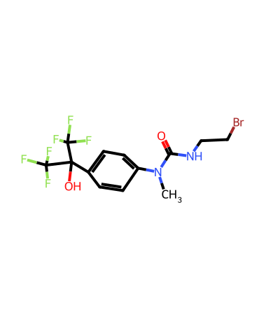 CN(C(=O)NCCBr)c1ccc(C(O)(C(F)(F)F)C(F)(F)F)cc1